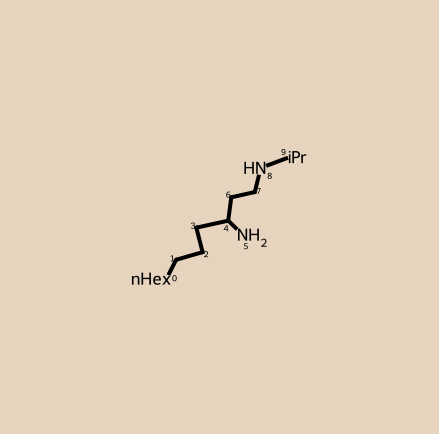 CCCCCCCCCC(N)CCNC(C)C